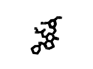 CCNC(=O)CC1CN(Cc2cc(OC)cc(OC)c2)C(=O)C(CC(C)C)N1C(=O)NC1CCCCC1